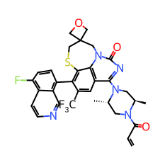 C=CC(=O)N1C[C@H](C)N(c2nc(=O)n3c4c(c(-c5ccc(F)c6ccncc56)c(C(F)(F)F)cc24)SCC2(COC2)C3)C[C@H]1C